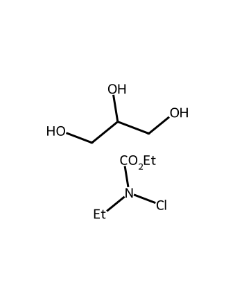 CCOC(=O)N(Cl)CC.OCC(O)CO